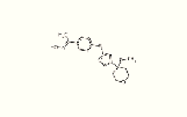 COC1(c2csc(Sc3ccc(C(C)=NO)cc3)c2)CCOCC1